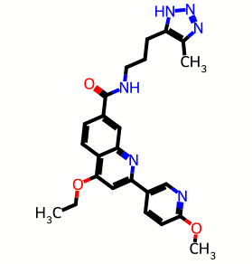 CCOc1cc(-c2ccc(OC)nc2)nc2cc(C(=O)NCCCc3[nH]nnc3C)ccc12